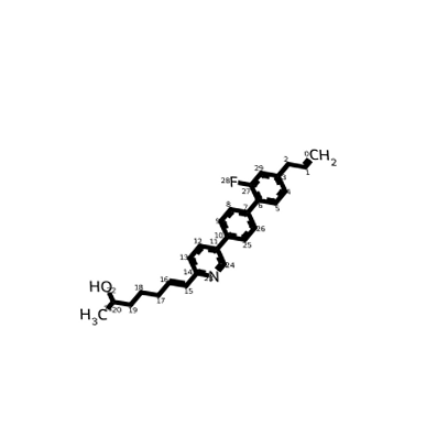 C=CCc1ccc(-c2ccc(-c3ccc(C=CCCCC(C)O)nc3)cc2)c(F)c1